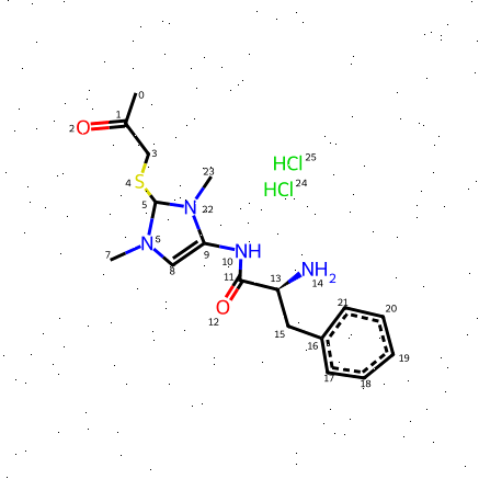 CC(=O)CSC1N(C)C=C(NC(=O)[C@@H](N)Cc2ccccc2)N1C.Cl.Cl